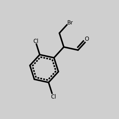 O=CC(CBr)c1cc(Cl)ccc1Cl